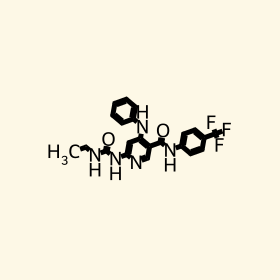 CCNC(=O)Nc1cc(Nc2ccccc2)c(C(=O)Nc2ccc(C(F)(F)F)cc2)cn1